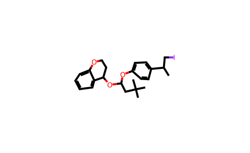 CC(CI)c1ccc(OC(CC(C)(C)C)OC2CCOc3ccccc32)cc1